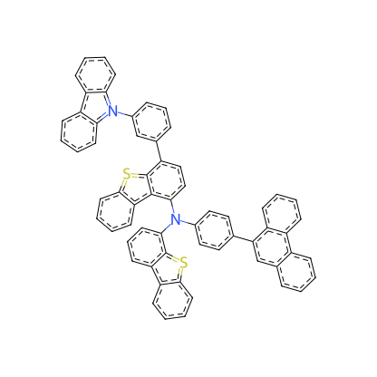 c1cc(-c2ccc(N(c3ccc(-c4cc5ccccc5c5ccccc45)cc3)c3cccc4c3sc3ccccc34)c3c2sc2ccccc23)cc(-n2c3ccccc3c3ccccc32)c1